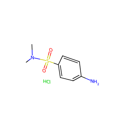 CN(C)S(=O)(=O)c1ccc(N)cc1.Cl